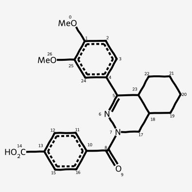 COc1ccc(C2=NN(C(=O)c3ccc(C(=O)O)cc3)CC3CCCCC23)cc1OC